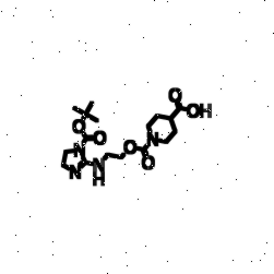 CC(C)(C)OC(=O)N1CCN=C1NCCOC(=O)N1CCC(C(=O)O)CC1